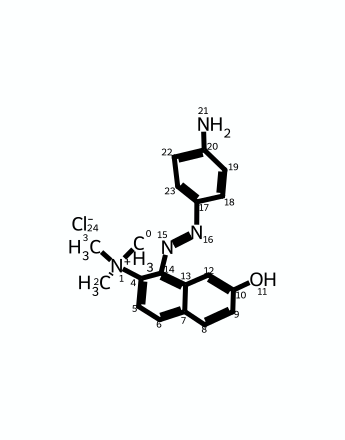 C[N+](C)(C)c1ccc2ccc(O)cc2c1N=Nc1ccc(N)cc1.[Cl-]